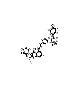 Cc1nc2cccc(NCCN3CCN(CC4=C(c5ccc(Cl)cc5)CCC(F)(F)C4)CC3)c2c(=O)n1C1CCC(=O)NC1=O